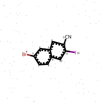 N#Cc1cc2cc(Br)ccc2cc1I